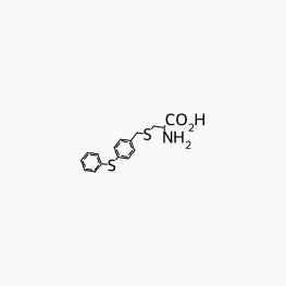 N[C@@H](CSCc1ccc(Sc2ccccc2)cc1)C(=O)O